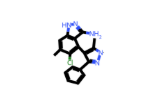 CC1=C(c2c(Cl)c(C)cc3[nH]nc(N)c23)C(c2ccccc2)=N[N]1